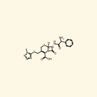 Cn1nnnc1SCC1=C(C(=O)O)N2C(=O)[C@@H](NC(=O)C(N)c3ccccc3)[C@H]2SC1